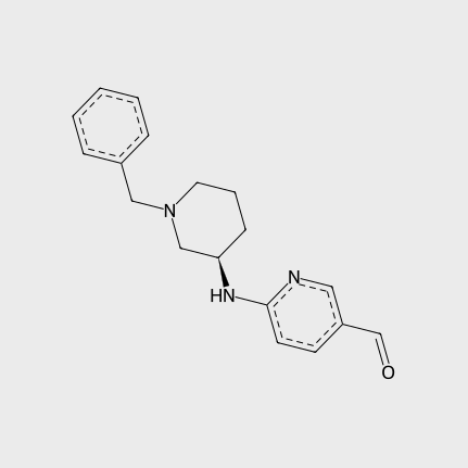 O=Cc1ccc(N[C@@H]2CCCN(Cc3ccccc3)C2)nc1